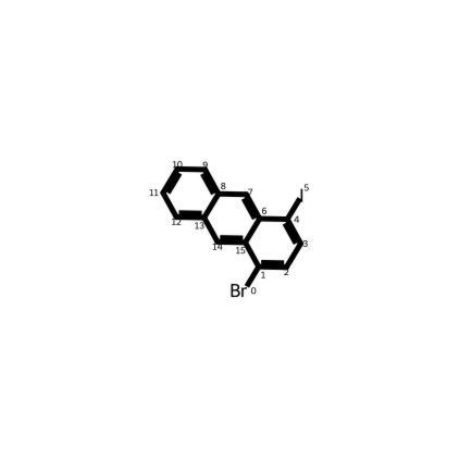 Brc1ccc(I)c2cc3ccccc3cc12